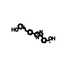 C[C@@H](O)c1cccc(-c2cnn3cc(-c4ccc(CCN5CCCC(O)C5)cc4)cnc23)c1